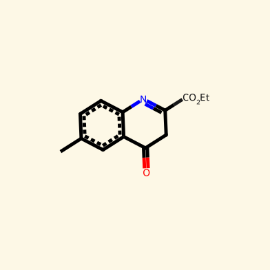 CCOC(=O)C1=Nc2ccc(C)cc2C(=O)C1